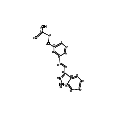 O=C(O)COc1cccc(/C=C/c2n[nH]c3ccccc23)c1